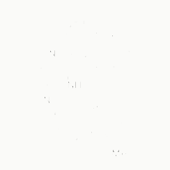 COC(=O)c1ccc2nc(CN(C)S(=O)(=O)c3ccccc3C(F)(F)F)[nH]c2c1